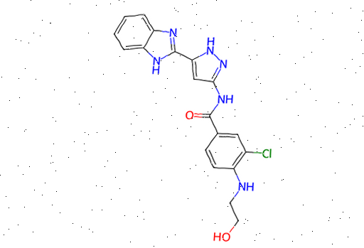 O=C(Nc1cc(-c2nc3ccccc3[nH]2)[nH]n1)c1ccc(NCCO)c(Cl)c1